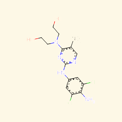 Nc1c(Cl)cc(Nc2ncc([N+](=O)[O-])c(N(CCO)CCO)n2)cc1Cl